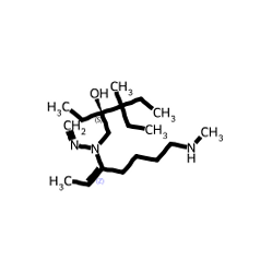 C=NN(C[C@](O)(CC)C(C)(CC)CC)/C(=C\C)CCCCNC